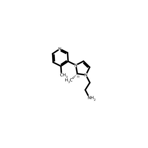 Cc1ccncc1N1C=CN(CCN)[C@@H]1C